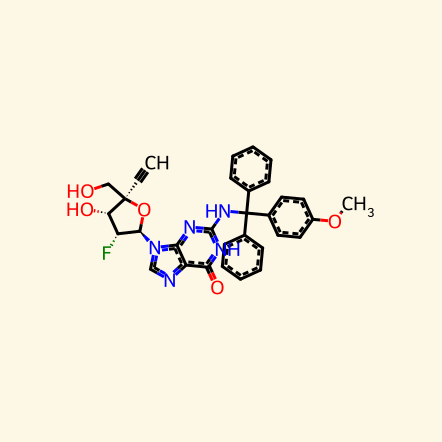 C#C[C@]1(CO)O[C@@H](n2cnc3c(=O)[nH]c(NC(c4ccccc4)(c4ccccc4)c4ccc(OC)cc4)nc32)[C@H](F)[C@@H]1O